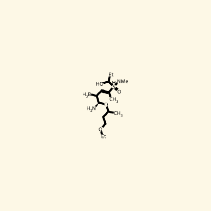 BC(/C=C(\C)[SH](=O)(NC)C(O)CC)[C@H](N)OC(C)CCOCC